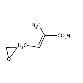 C1CO1.CC=C(C)C(=O)O